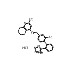 CCc1cc(OCc2ccc(-c3ccccc3-c3nnn[nH]3)c(C(C)=O)c2)c2c(n1)CCCC2.Cl